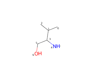 CC(C)C([NH])CO